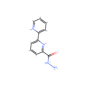 NNC(=O)c1cccc(-c2ccccn2)n1